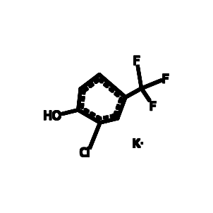 Oc1ccc(C(F)(F)F)cc1Cl.[K]